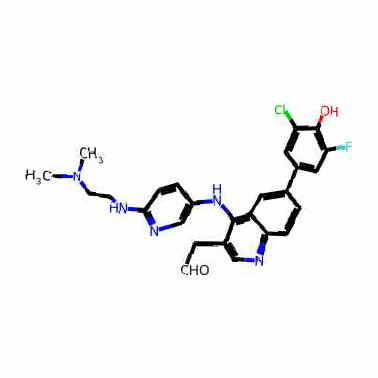 CN(C)CCNc1ccc(Nc2c(CC=O)cnc3ccc(-c4cc(F)c(O)c(Cl)c4)cc23)cn1